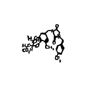 Cc1cc(CN2C(=O)CN(Cc3ccc(C(F)(F)F)cc3)C2=O)cc(C)c1OC(C)(C)C(=O)O